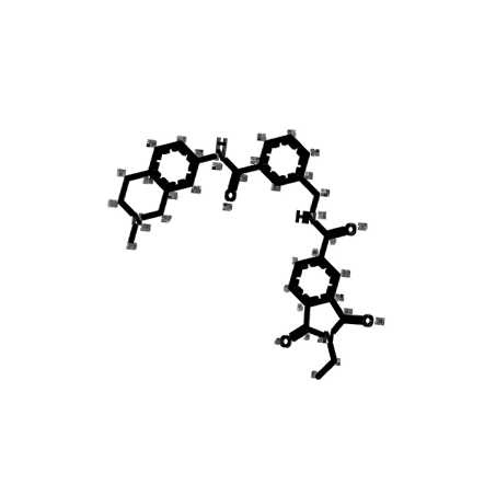 CCN1C(=O)c2ccc(C(=O)NCc3cccc(C(=O)Nc4ccc5c(c4)CN(C)CC5)c3)cc2C1=O